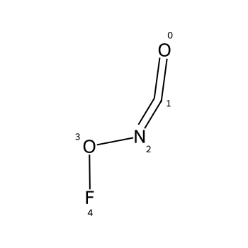 O=C=NOF